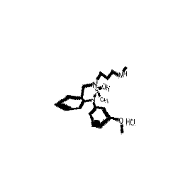 CNCCCN1Cc2ccccc2N(c2cccc(OC)c2)S1(O)O.Cl